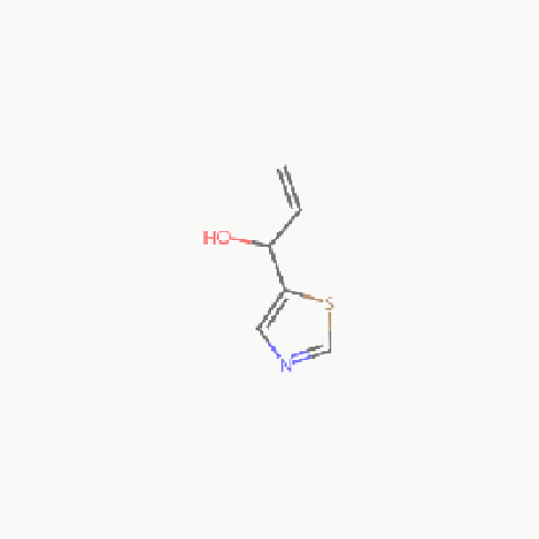 C=CC(O)c1cncs1